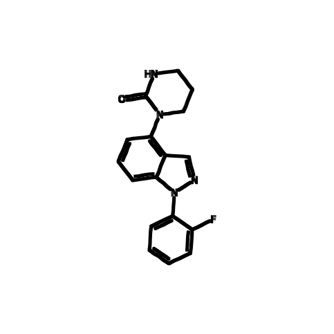 O=C1NCCCN1c1cccc2c1cnn2-c1ccccc1F